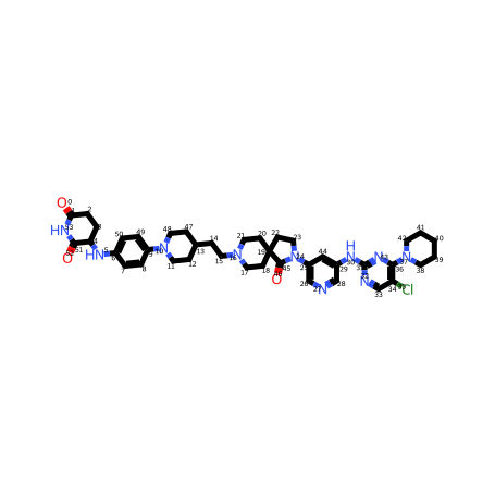 O=C1CCC(Nc2ccc(N3CCC(CCN4CCC5(CC4)CCN(c4cncc(Nc6ncc(Cl)c(N7CCCCC7)n6)c4)C5=O)CC3)cc2)C(=O)N1